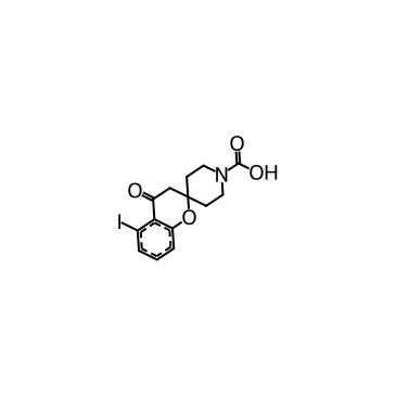 O=C1CC2(CCN(C(=O)O)CC2)Oc2cccc(I)c21